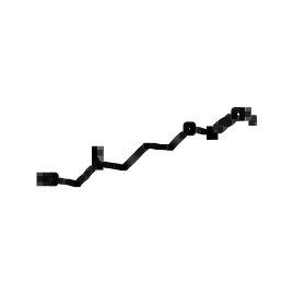 C=NOCCCNCO